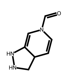 O=CN1C=CC2CNNC2=C1